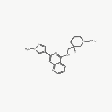 Cn1cc(-c2cc3nccnc3c(NC[C@]3(F)CCCN(C(=O)O)C3)n2)cn1